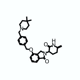 C=C1CCC(N2Cc3c(OCc4ccc(CN5CCC(C)(C)CC5)cc4)cccc3C2=O)C(=O)N1